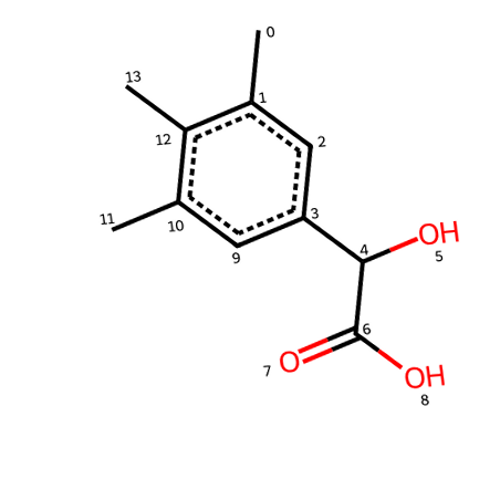 Cc1cc(C(O)C(=O)O)cc(C)c1C